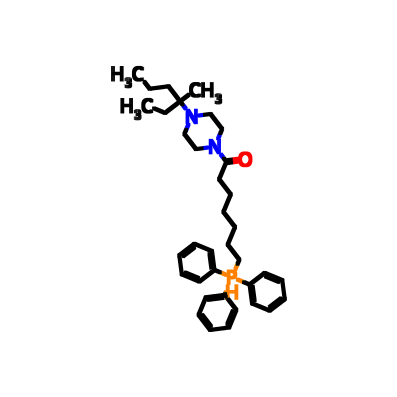 CCCC(C)(CC)N1CCN(C(=O)CCCCCC[PH](c2ccccc2)(c2ccccc2)c2ccccc2)CC1